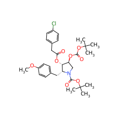 COc1ccc(C[C@@H]2[C@H](OC(=O)Cc3ccc(Cl)cc3)[C@@H](OC(=O)OC(C)(C)C)CN2C(=O)OC(C)(C)C)cc1